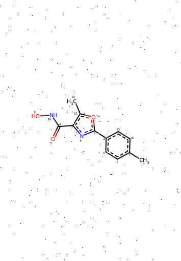 Cc1ccc(-c2nc(C(=O)NO)c(C)o2)cc1